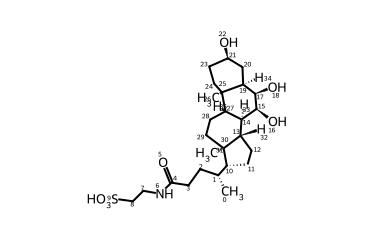 C[C@H](CCC(=O)NCCS(=O)(=O)O)[C@H]1CC[C@H]2[C@@H]3[C@H](O)[C@H](O)[C@@H]4C[C@H](O)CC[C@]4(C)[C@H]3CC[C@]12C